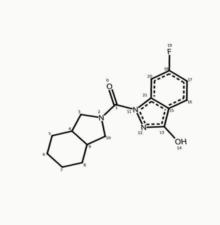 O=C(N1CC2CCCCC2C1)n1nc(O)c2ccc(F)cc21